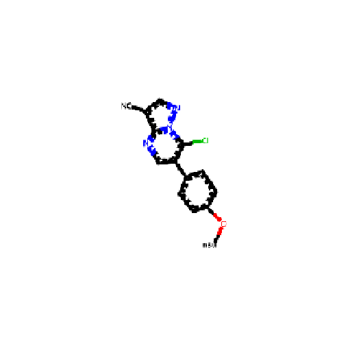 CCCCOc1ccc(-c2cnc3c(C#N)cnn3c2Cl)cc1